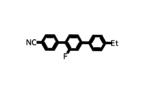 CCc1ccc(-c2ccc(-c3ccc(C#N)cc3)c(F)c2)cc1